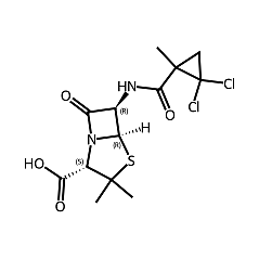 CC1(C)S[C@@H]2[C@H](NC(=O)C3(C)CC3(Cl)Cl)C(=O)N2[C@H]1C(=O)O